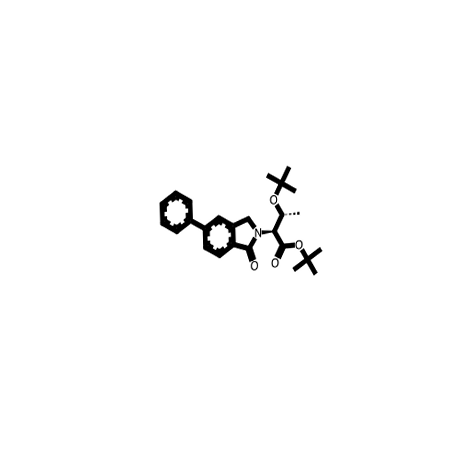 C[C@@H](OC(C)(C)C)[C@@H](C(=O)OC(C)(C)C)N1Cc2cc(-c3ccccc3)ccc2C1=O